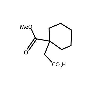 COC(=O)C1(CC(=O)O)CCCCC1